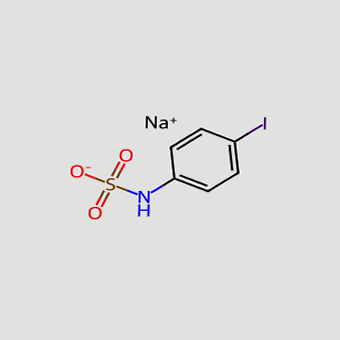 O=S(=O)([O-])Nc1ccc(I)cc1.[Na+]